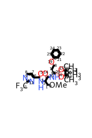 COCC(NC(=O)c1ccnc(C(F)(F)F)n1)C(=O)N[C@@H](CCOc1ccccc1)B1OC(C)(C)C(C)(C)O1